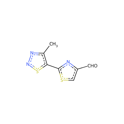 Cc1nnsc1-c1nc(C=O)cs1